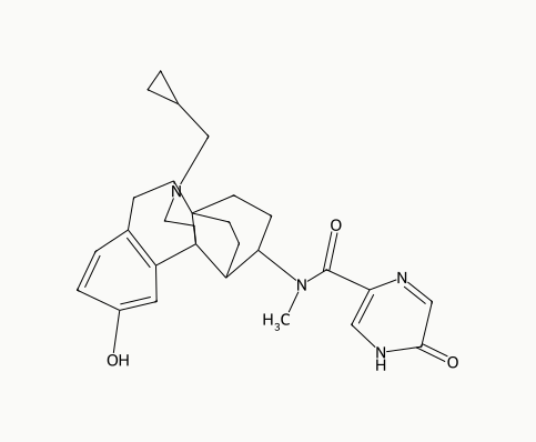 CN(C(=O)c1c[nH]c(=O)cn1)C1CCC23CCC1C21CCN(CC2CC2)C3Cc2ccc(O)cc21